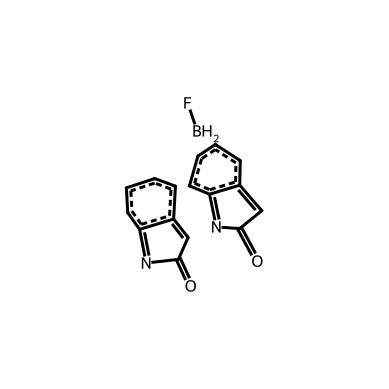 BF.O=C1C=c2ccccc2=N1.O=C1C=c2ccccc2=N1